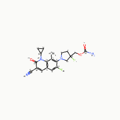 Cc1c(N2CCC(F)(COC(N)=O)C2)c(F)cc2cc(C#N)c(=O)n(C3CC3)c12